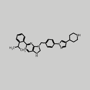 CC(C)c1ccccc1-c1ncc2c(n1)N(Cc1ccc(-n3cc(C4CCNCC4)cn3)cc1)CN2